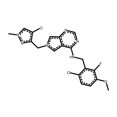 COc1ccc(Cl)c(CNc2ncnc3cn(Cc4nn(C)cc4Cl)cc23)c1F